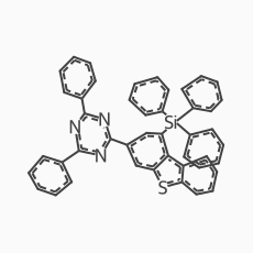 c1ccc(-c2nc(-c3ccccc3)nc(-c3cc([Si](c4ccccc4)(c4ccccc4)c4ccccc4)c4c(c3)sc3ccccc34)n2)cc1